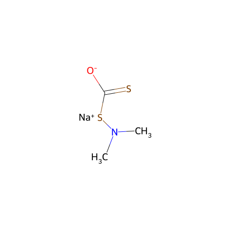 CN(C)SC([O-])=S.[Na+]